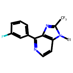 CCn1c(C(F)(F)F)nc2c(-c3cc[c]c(F)c3)nccc21